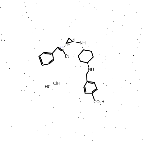 CC/C(=C\c1ccccc1)[C@@H]1C[C@H]1N[C@H]1CC[C@H](NCc2ccc(C(=O)O)cc2)CC1.Cl.Cl